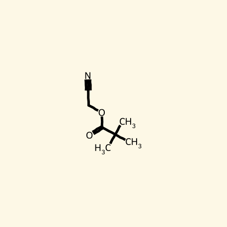 CC(C)(C)C(=O)OCC#N